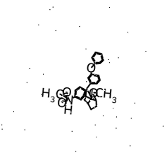 COC1(c2cccc(NS(C)(=O)=O)c2)C2CCC1CN(Cc1cccc(Oc3ccccc3)c1)C2